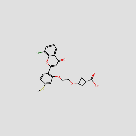 CSc1ccc(-c2cc(=O)c3cccc(Cl)c3o2)c(OCCO[C@H]2C[C@@H](C(=O)O)C2)c1